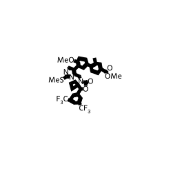 COC(=O)c1ccc(-c2ccc(OC)c(-c3cnc(SC)nc3CN3C(=O)OC(c4cc(C(F)(F)F)cc(C(F)(F)F)c4)C34CCC4)c2)c(C)c1